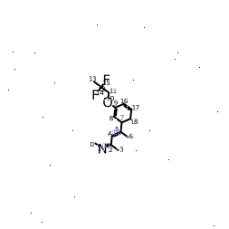 C/N=C(C)\C=C(/C)C1C=C(OCC(C)(F)F)C=CC1